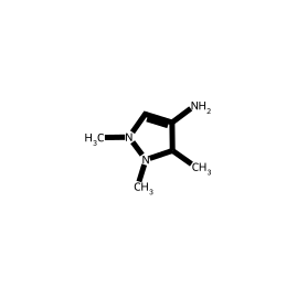 CC1C(N)=CN(C)N1C